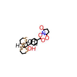 CC1(C(O)(c2ccc(C(=O)ON3C(=O)CCC3=O)cc2)C2(C)SCCCS2)SCCCS1